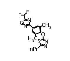 CCCc1nnc(Oc2c(C)cc(-c3noc(C(F)F)n3)cc2C)s1